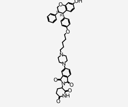 O=C1CCC(N2C(=O)c3ccc(N4CCN(CCCCCOc5ccc([C@@H]6c7ccc(O)cc7OC[C@@H]6c6ccccc6)cc5)CC4)cc3C2=O)C(=O)N1